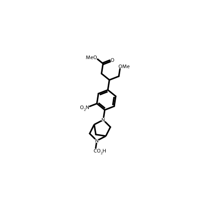 COCC(CC(=O)OC)c1ccc(N2CC3CC2CN3C(=O)O)c([N+](=O)[O-])c1